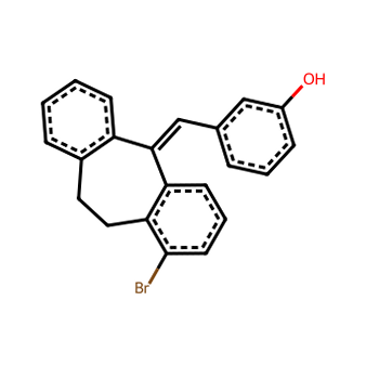 Oc1cccc(/C=C2/c3ccccc3CCc3c(Br)cccc32)c1